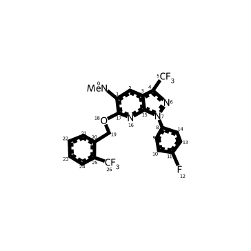 CNc1cc2c(C(F)(F)F)nn(-c3ccc(F)cc3)c2nc1OCc1ccccc1C(F)(F)F